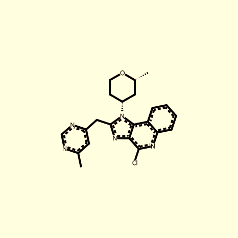 Cc1cc(Cc2nc3c(Cl)nc4ccccc4c3n2[C@@H]2CCO[C@H](C)C2)ncn1